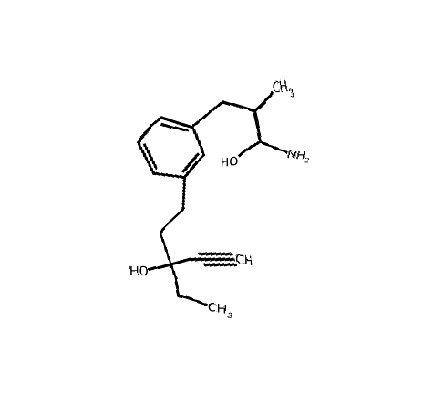 C#CC(O)(CC)CCc1cccc(CC(C)C(N)O)c1